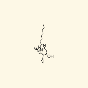 CCCCCCCC1=N[N+]2(N=O)C(=N1)C=C(O)C(C#N)=C2C